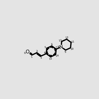 O=C/C=C/c1ccc(N2CCCCC2)cc1